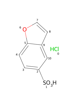 Cl.O=S(=O)(O)c1ccc2occc2c1